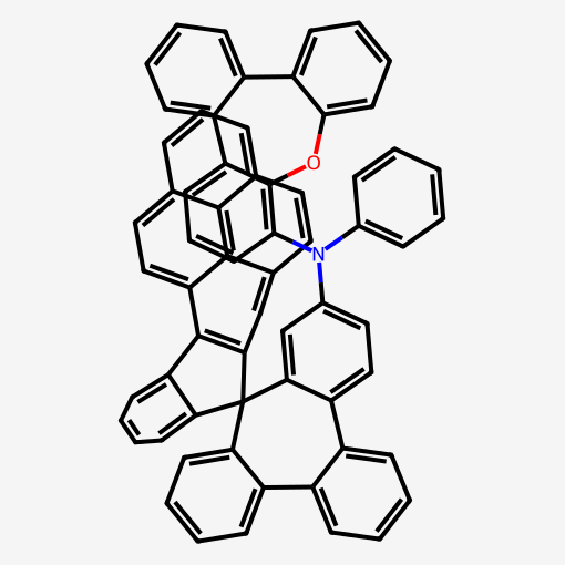 c1ccc(N(c2ccc3c(c2)C2(c4ccccc4-c4ccccc4-3)c3ccccc3-c3c2cc2ccc4cccc5ccc3c2c45)c2cccc3c2Oc2ccccc2-c2ccccc2-3)cc1